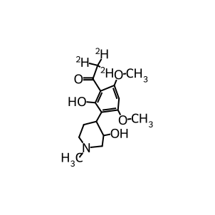 [2H]C([2H])([2H])C(=O)c1c(OC)cc(OC)c(C2CCN(C)CC2O)c1O